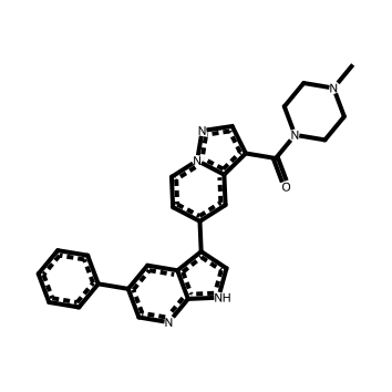 CN1CCN(C(=O)c2cnn3ccc(-c4c[nH]c5ncc(-c6ccccc6)cc45)cc23)CC1